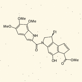 CC[C@@H]1CN(C(=O)c2cc3cc(OC)c(OC)c(OC)c3[nH]2)c2cc(O)c3c(c21)C=CC3C(=O)OC